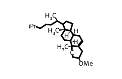 CO[C@H]1CC[C@@]2(C)C(=CC[C@@H]3[C@@H]2CC[C@]2(C)C([C@H](C)CCCC(C)C)CC[C@@H]32)C1